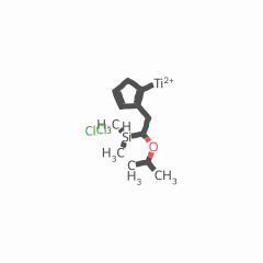 CC(C)OC(CC1=[C]([Ti+2])CC=C1)[SiH](C)C.[Cl-].[Cl-]